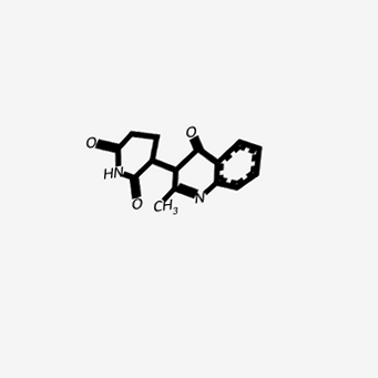 CC1=Nc2ccccc2C(=O)C1C1CCC(=O)NC1=O